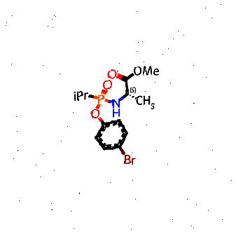 COC(=O)[C@H](C)NP(=O)(Oc1ccc(Br)cc1)C(C)C